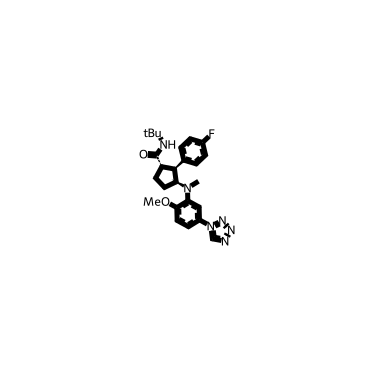 COc1ccc(-n2cnnn2)cc1N(C)[C@H]1CC[C@H](C(=O)NC(C)(C)C)[C@H]1c1ccc(F)cc1